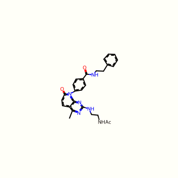 CC(=O)NCCNc1nc(C)c2ccc(=O)n(-c3ccc(C(=O)NCCc4ccccc4)cc3)c2n1